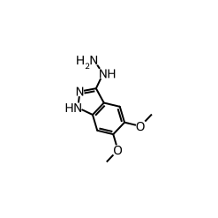 COc1cc2[nH]nc(NN)c2cc1OC